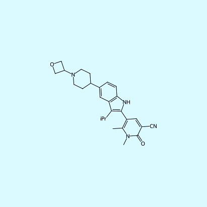 Cc1c(-c2[nH]c3ccc(C4CCN(C5COC5)CC4)cc3c2C(C)C)cc(C#N)c(=O)n1C